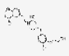 Cl.O=C1CCOc2ccc(CCN3CCC(Cc4ccc(Br)c(OCCO)c4)CC3)cc21